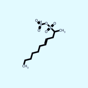 CCCCCCC=CCC(C)S(=O)(=O)O[SH](=O)=O